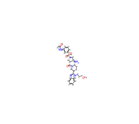 COCCCn1c(C2CCCN(C(=O)[C@@H]3CN(S(=O)(=O)c4cccc(NC(C)=O)c4)C[C@H]3N)C2)nc2ccccc21